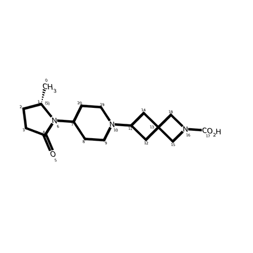 C[C@H]1CCC(=O)N1C1CCN(C2CC3(C2)CN(C(=O)O)C3)CC1